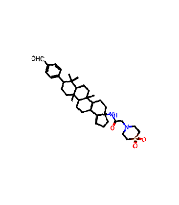 CC1(C)C(c2ccc(C=O)cc2)CCC2(C)C1CCC1(C)C3CCC4(NC(=O)CN5CCS(=O)(=O)CC5)CCCC4C3CCC12